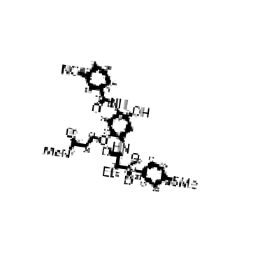 CCC(C(=O)Nc1cc(O)c(NC(=O)c2cccc(C#N)c2)cc1OCCC(=O)NC)S(=O)(=O)c1ccc(SC)cc1